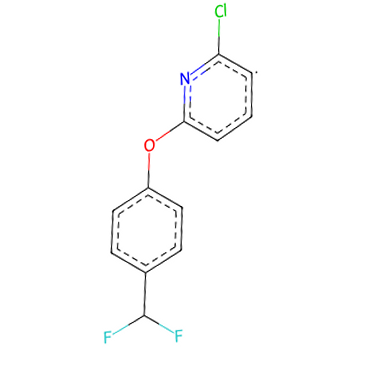 FC(F)c1ccc(Oc2cc[c]c(Cl)n2)cc1